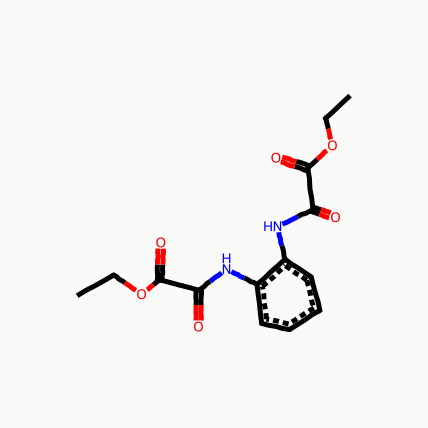 CCOC(=O)C(=O)Nc1ccccc1NC(=O)C(=O)OCC